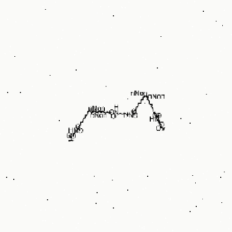 C=C(C)C(=O)OCCNC(=O)OCCCCCCCCC(CCCCCCCCC)C(CCCCCCCCC)CCCCCCCCOC(=O)NCCCCCCNC(=O)OCCCCCCCCC(CCCCCCCCC)C(CCCCCCCCC)CCCCCCCCOC(=O)NCCOC(=O)C(=C)C